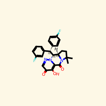 CC1(C)CC[C@@H]2[C@@H]([C@@H](c3ccc(F)cc3)c3cccc(F)c3)n3ncc(=O)c(O)c3C(=O)N21